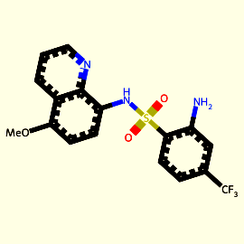 COc1ccc(NS(=O)(=O)c2ccc(C(F)(F)F)cc2N)c2ncccc12